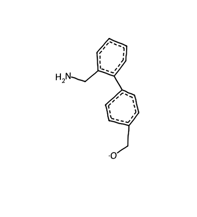 NCc1ccccc1-c1ccc(C[O])cc1